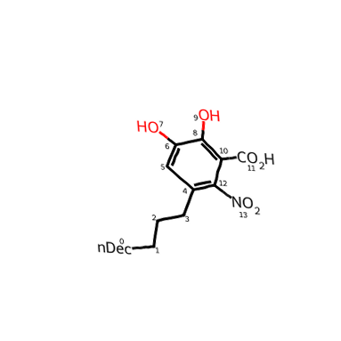 CCCCCCCCCCCCCc1cc(O)c(O)c(C(=O)O)c1[N+](=O)[O-]